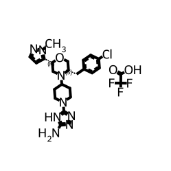 Cn1nccc1[C@H]1CN(C2CCN(c3nnc(N)[nH]3)CC2)[C@@H](Cc2ccc(Cl)cc2)CO1.O=C(O)C(F)(F)F